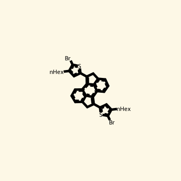 CCCCCCc1cc(C2=c3c4cccc5c4c(c4cccc(c34)C2)=C(c2cc(CCCCCC)c(Br)s2)C5)sc1Br